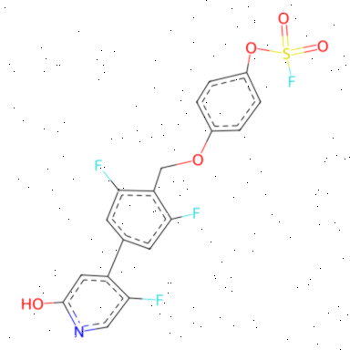 O=S(=O)(F)Oc1ccc(OCc2c(F)cc(-c3cc(O)ncc3F)cc2F)cc1